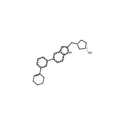 O[C@H]1CCN(Cc2cc3cc(-c4cccc(C5=CCCCC5)c4)ccc3[nH]2)C1